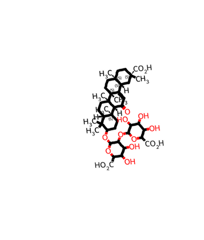 CC1(C)C(OC2OC(C(=O)O)C(O)C(O)C2OC2OC(C(=O)O)C(O)C(O)C2O)CC[C@]2(C)[C@H]3C(=O)C=C4[C@H]5C[C@@](C)(C(=O)O)CC[C@]5(C)CC[C@@]4(C)[C@]3(C)CC[C@@H]12